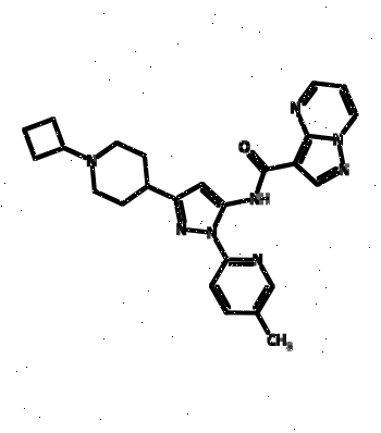 Cc1ccc(-n2nc(C3CCN(C4CCC4)CC3)cc2NC(=O)c2cnn3cccnc23)nc1